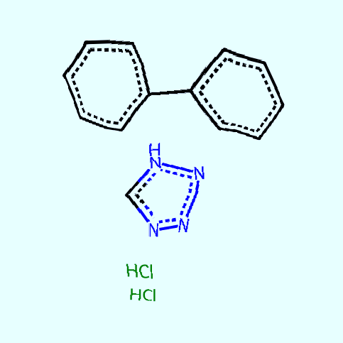 Cl.Cl.c1ccc(-c2ccccc2)cc1.c1nnn[nH]1